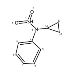 O=[SH](=O)N(c1c[c]ccc1)C1CC1